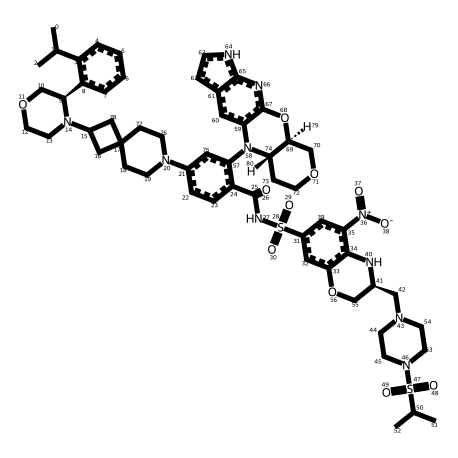 CC(C)c1ccccc1[C@@H]1COCCN1C1CC2(CCN(c3ccc(C(=O)NS(=O)(=O)c4cc5c(c([N+](=O)[O-])c4)N[C@@H](CN4CCN(S(=O)(=O)C(C)C)CC4)CO5)c(N4c5cc6cc[nH]c6nc5O[C@H]5COCC[C@@H]54)c3)CC2)C1